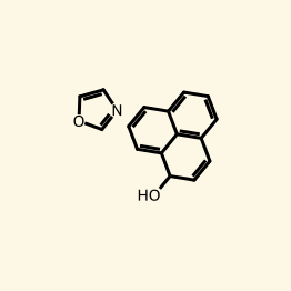 OC1C=Cc2cccc3cccc1c23.c1cocn1